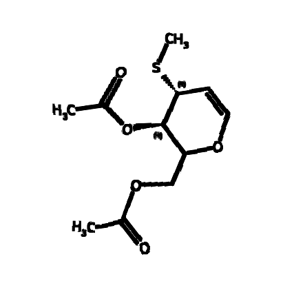 CS[C@@H]1C=COC(COC(C)=O)[C@H]1OC(C)=O